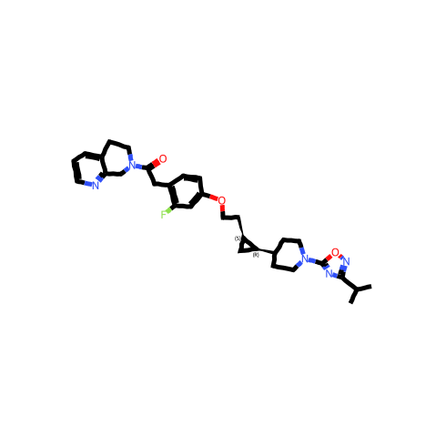 CC(C)c1noc(N2CCC([C@H]3C[C@H]3CCOc3ccc(CC(=O)N4CCc5cccnc5C4)c(F)c3)CC2)n1